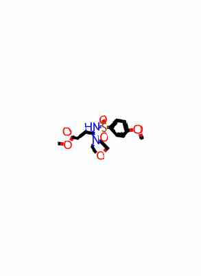 COC(=O)CCC(NS(=O)(=O)c1ccc(OC)cc1)N1CCOCC1